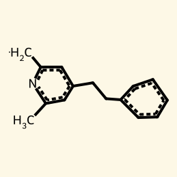 [CH2]c1cc(CCc2ccccc2)cc(C)n1